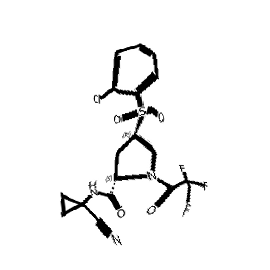 N#CC1(NC(=O)[C@@H]2C[C@@H](S(=O)(=O)c3ccccc3Cl)CN2C(=O)C(F)(F)F)CC1